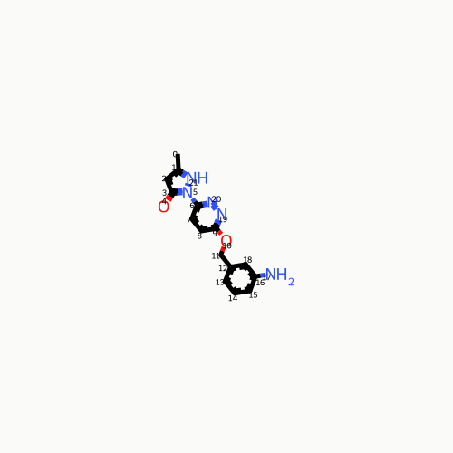 Cc1cc(=O)n(-c2ccc(OCc3cccc(N)c3)nn2)[nH]1